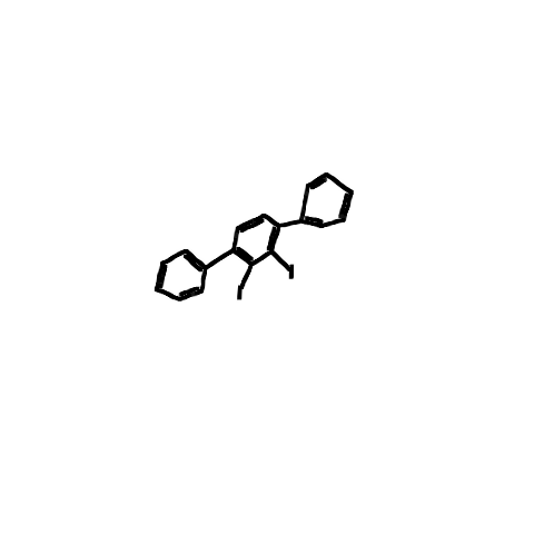 Ic1c(-c2ccccc2)ccc(-c2ccccc2)c1I